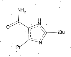 CC(C)c1nc(C(C)(C)C)[nH]c1C(N)=O